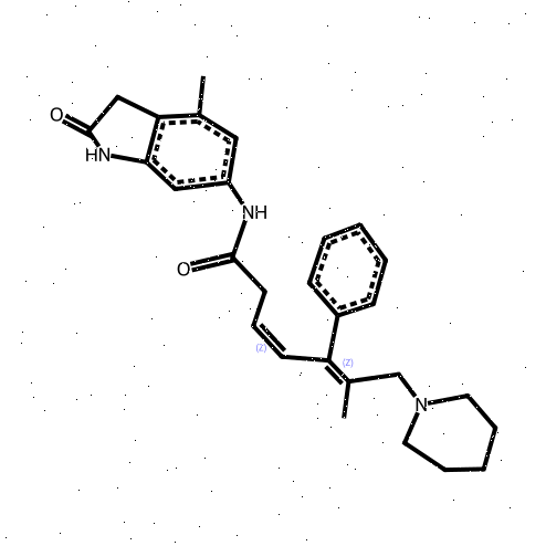 C/C(CN1CCCCC1)=C(\C=C/CC(=O)Nc1cc(C)c2c(c1)NC(=O)C2)c1ccccc1